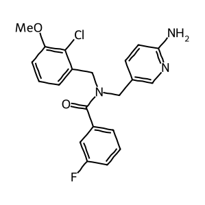 COc1cccc(CN(Cc2ccc(N)nc2)C(=O)c2cccc(F)c2)c1Cl